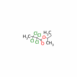 CCC(C)OC(=O)C(Cl)(Cl)C(C)(Cl)Cl